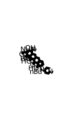 CCCCN(c1ccc2c(c1O)C(=O)C1=C(O)C3(O)C(=O)C(C(N)=O)=C(O)C(N(C)C)C3CC1C2)C1CCN(C)CC1